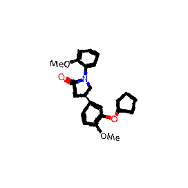 COc1ccc([C@H]2CC(=O)N(c3ccccc3OC)C2)cc1OC1CCCC1